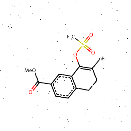 CCCC1=C(OS(=O)(=O)C(F)(F)F)c2cc(C(=O)OC)ccc2CC1